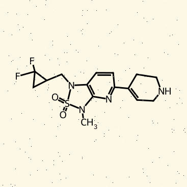 CN1c2nc(C3=CCNCC3)ccc2N(CC2CC2(F)F)S1(=O)=O